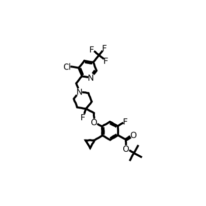 CC(C)(C)OC(=O)c1cc(C2CC2)c(OCC2(F)CCN(Cc3ncc(C(F)(F)F)cc3Cl)CC2)cc1F